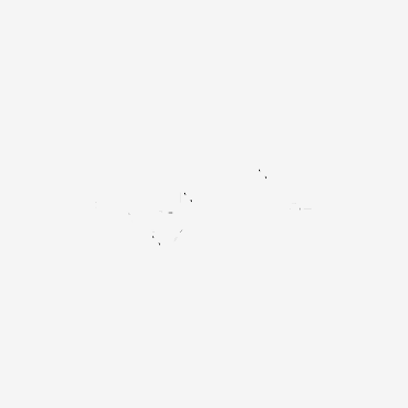 CCN(CCO)CCCCNc1ccnc2cc(Cl)ccc12